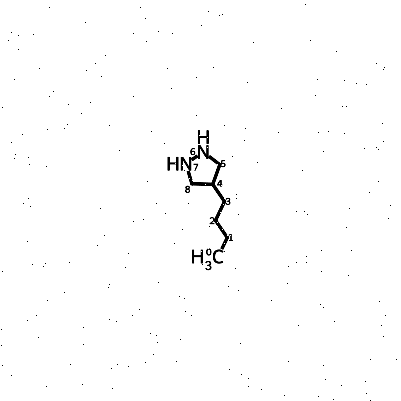 CCCCC1CNNC1